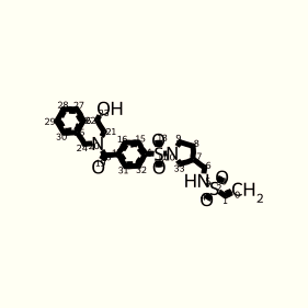 C=CS(=O)(=O)NCC1CCN(S(=O)(=O)c2ccc(C(=O)N(CCO)Cc3ccccc3)cc2)C1